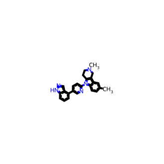 Cc1ccc2c(c1)c1c(n2-c2ccc(-c3cccc4[nH]ncc34)cn2)CCN(C)C1